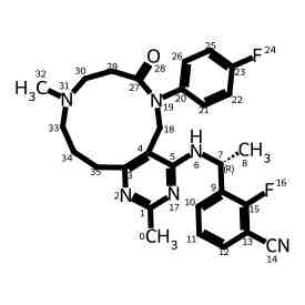 Cc1nc2c(c(N[C@H](C)c3cccc(C#N)c3F)n1)CN(c1ccc(F)cc1)C(=O)CCN(C)CCC2